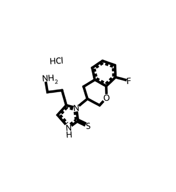 Cl.NCCc1c[nH]c(=S)n1C1COc2c(F)cccc2C1